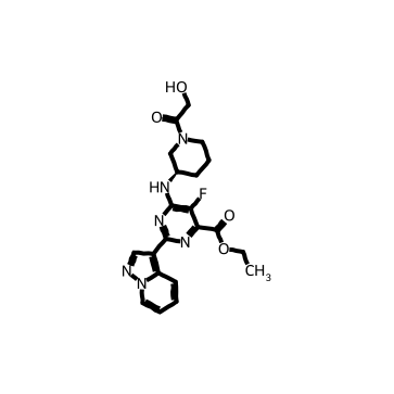 CCOC(=O)c1nc(-c2cnn3ccccc23)nc(N[C@@H]2CCCN(C(=O)CO)C2)c1F